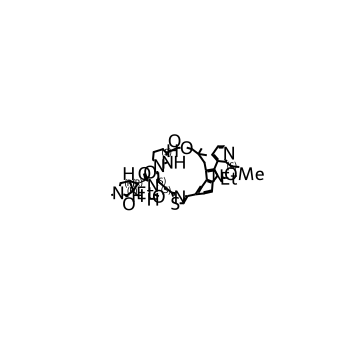 CCO[C@@H]1c2nc(cs2)-c2ccc3c(c2)c(c(-c2cccnc2[C@H](C)OC)n3CC)CC(C)(C)COC(=O)[C@@H]2CCCN(N2)C(=O)[C@H]1NC(=O)[C@@H]1[C@H]2CN(C)C(=O)[C@H]21